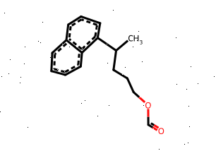 CC(CCCOC=O)c1cccc2ccccc12